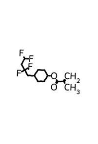 C=C(C)C(=O)OC1CCC(CC(F)(F)CC(F)F)CC1